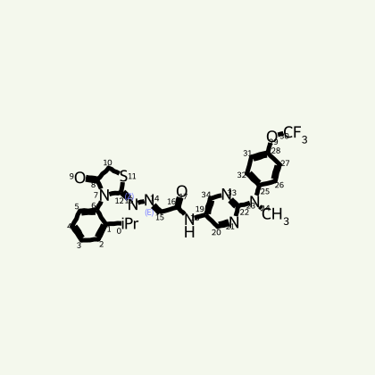 CC(C)c1ccccc1N1C(=O)CS/C1=N\N=C\C(=O)Nc1cnc(N(C)c2ccc(OC(F)(F)F)cc2)nc1